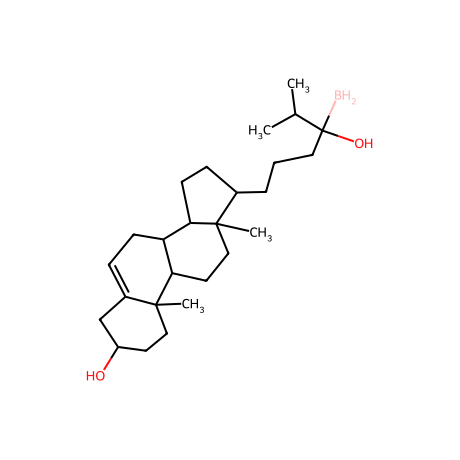 BC(O)(CCCC1CCC2C3CC=C4CC(O)CCC4(C)C3CCC12C)C(C)C